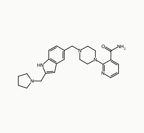 NC(=O)c1cccnc1N1CCN(Cc2ccc3[nH]c(CN4CCCC4)cc3c2)CC1